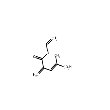 C=COC(=O)C(=C)C=C(C)C(=O)O